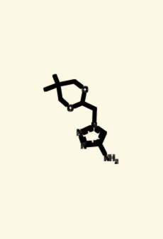 CC1(C)COC(Cn2cc(N)nn2)OC1